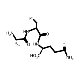 CC(C)C[C@H](NC(=O)[C@@H](N)C(C)C)C(=O)N[C@@H](CCC(N)=O)C(=O)O